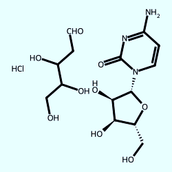 Cl.Nc1ccn([C@@H]2O[C@H](CO)[C@@H](O)[C@H]2O)c(=O)n1.O=CCC(O)C(O)CO